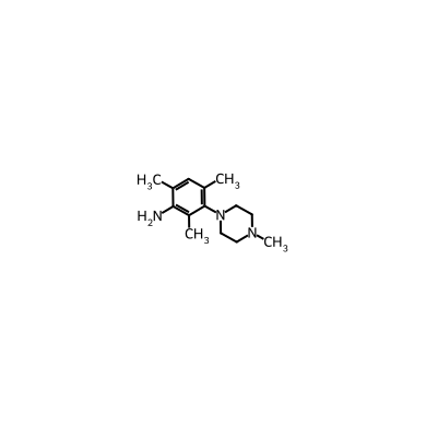 Cc1cc(C)c(N2CCN(C)CC2)c(C)c1N